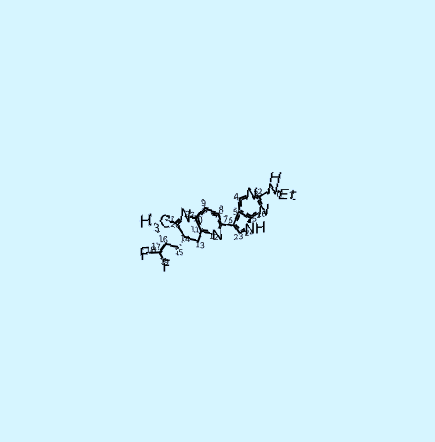 CCNc1ncc2c(-c3ccc4c(n3)C[C@H](CCC(F)F)C(C)=N4)c[nH]c2n1